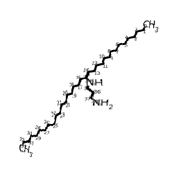 CCCCCCCCCCCCCCC=C(C=CCCCCCCCCCCCCCCCC)NCCCN